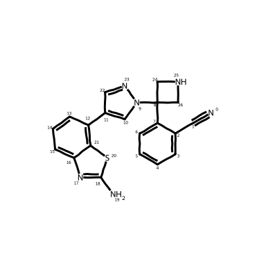 N#Cc1ccccc1C1(n2cc(-c3cccc4nc(N)sc34)cn2)CNC1